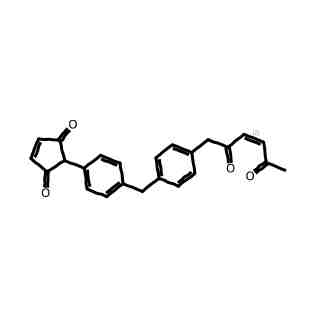 CC(=O)/C=C\C(=O)Cc1ccc(Cc2ccc(C3C(=O)C=CC3=O)cc2)cc1